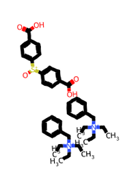 CC[N+](CC)(CC)Cc1ccccc1.CC[N+](CC)(CC)Cc1ccccc1.O=C(O)c1ccc([S+]([O-])c2ccc(C(=O)O)cc2)cc1